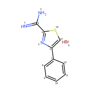 Br.N=C(N)c1nc(-c2ccccc2)cs1